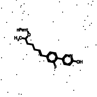 CCCCCOC(C)CCCC=Cc1ccc(-c2ccc(O)nc2)c(F)c1